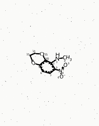 CNc1c([N+](=O)[O-])ccc2c1OCCO2